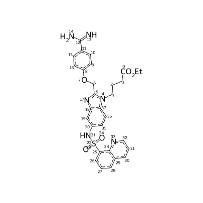 CCOC(=O)CCCn1c(COc2ccc(C(=N)N)cc2)nc2cc(NS(=O)(=O)c3cccc4cccnc34)ccc21